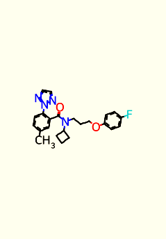 Cc1ccc(-n2nccn2)c(C(=O)N(CCCOc2ccc(F)cc2)C2CCC2)c1